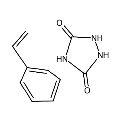 C=Cc1ccccc1.O=c1[nH][nH]c(=O)[nH]1